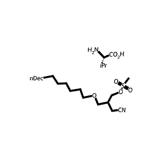 CC(C)[C@H](N)C(=O)O.CCCCCCCCCCCCCCCCOCC(CC#N)COS(C)(=O)=O